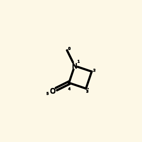 CN1C[CH]C1=O